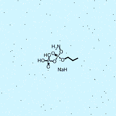 CCCOP(=O)(ON)OP(=O)(O)O.[NaH]